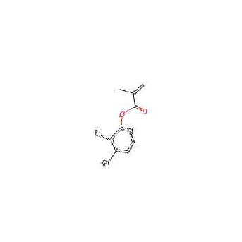 C=C(C)C(=O)Oc1cccc([C](C)C)c1CC